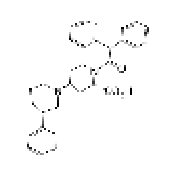 O=C(O)[C@@H]1C[C@@H](N2CCC[C@H](c3ccccc3)C2)CCN1C(=O)C(c1ccccc1)c1ccccc1